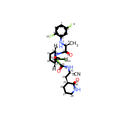 C[C@H](Nc1cc(F)ccc1F)C(=O)N1[C@H]2CC[C@@H]([C@H]1C(=O)N[C@H](C#N)C[C@@H]1CCCNC1=O)C(F)(F)C2